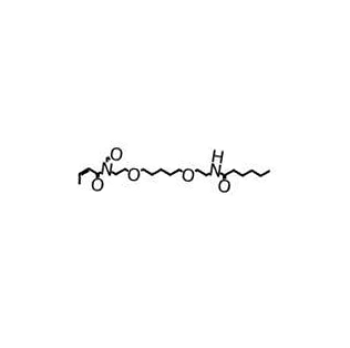 C/C=C\C(=O)N(C=O)CCOCCCCCOCCNC(=O)CCCCC